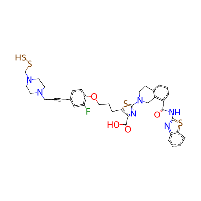 O=C(Nc1nc2ccccc2s1)c1cccc2c1CN(c1nc(C(=O)O)c(CCCOc3ccc(C#CCN4CCN(CSS)CC4)cc3F)s1)CC2